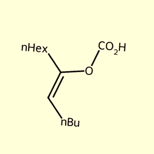 CCCCC=C(CCCCCC)OC(=O)O